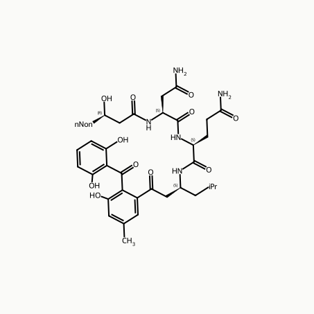 CCCCCCCCC[C@@H](O)CC(=O)N[C@@H](CC(N)=O)C(=O)N[C@@H](CCC(N)=O)C(=O)N[C@H](CC(=O)c1cc(C)cc(O)c1C(=O)c1c(O)cccc1O)CC(C)C